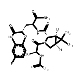 CC(C)(C)[C@H](NC(=O)C(F)(F)F)C(=O)N1C[C@H]2[C@@H]([C@H]1C(=O)N[C@@H](C[C@@H]1Oc3ccc(F)cc3NC1=O)C(N)=O)C2(C)C